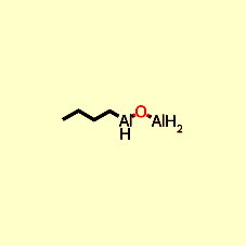 CCC[CH2][AlH][O][AlH2]